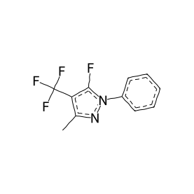 Cc1nn(-c2ccccc2)c(F)c1C(F)(F)F